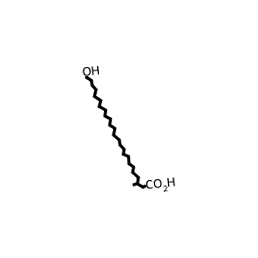 CC(CCCCCCCCCCCCCCCCCCCCCCO)CC(=O)O